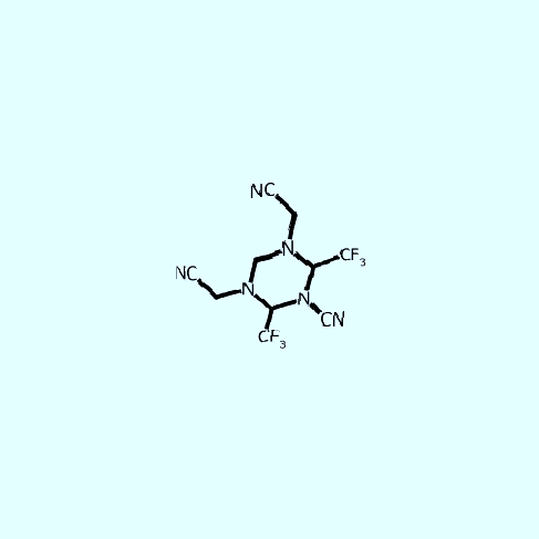 N#CCN1CN(CC#N)C(C(F)(F)F)N(C#N)C1C(F)(F)F